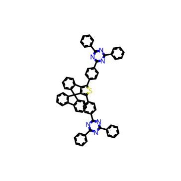 c1ccc(-c2nc(-c3ccccc3)nc(-c3ccc(-c4sc(-c5ccc(-c6nc(-c7ccccc7)nc(-c7ccccc7)n6)cc5)c5c4-c4ccccc4C54c5ccccc5-c5ccccc54)cc3)n2)cc1